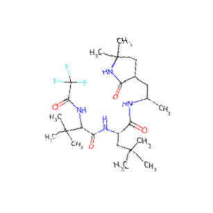 CC(CC1CC(C)(C)NC1=O)NC(=O)C(CC(C)(C)C)NC(=O)C(NC(=O)C(F)(F)F)C(C)(C)C